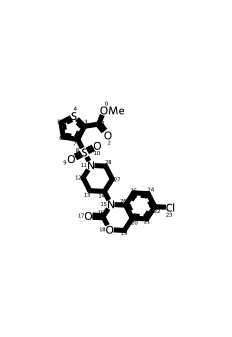 COC(=O)c1sccc1S(=O)(=O)N1CCC(N2C(=O)OCc3cc(Cl)ccc32)CC1